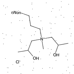 CCCCCCCCCCCC[N+](C)(CC(C)O)CC(C)O.[Cl-]